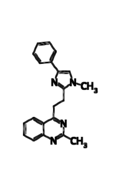 Cc1nc(CCc2nc(-c3ccccc3)cn2C)c2ccccc2n1